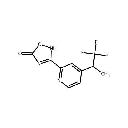 CC(c1ccnc(-c2nc(=O)o[nH]2)c1)C(F)(F)F